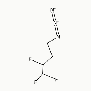 [N-]=[N+]=NCCC(F)C(F)F